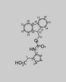 O=C(O)Cc1sccc1NC(=O)OCC1c2ccccc2-c2ccccc21